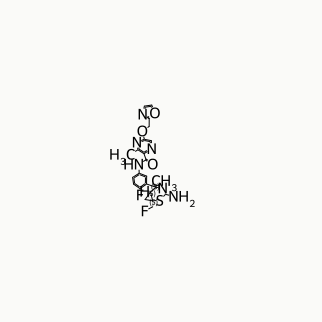 Cc1nc(OCc2ncco2)cnc1C(=O)Nc1ccc(F)c([C@@]2(C)N=C(N)S[C@@]3(CF)C[C@H]32)c1